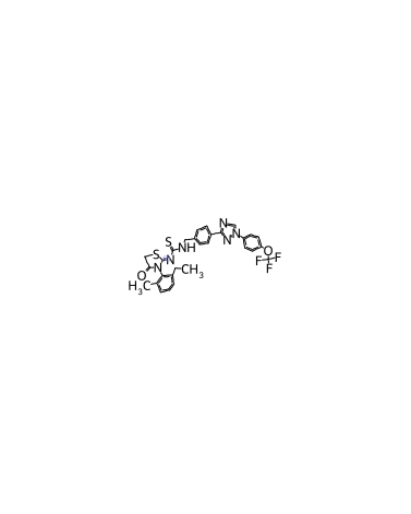 CCc1cccc(C)c1N1C(=O)CS/C1=N\C(=S)NCc1ccc(-c2ncn(-c3ccc(OC(F)(F)F)cc3)n2)cc1